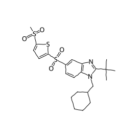 CC(C)(C)c1nc2cc(S(=O)(=O)c3ccc(S(C)(=O)=O)s3)ccc2n1CC1CCCCC1